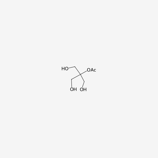 CC(=O)OC(CO)(CO)CO